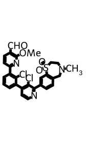 COc1nc(-c2cccc(-c3ccnc(-c4ccc5c(c4)S(=O)(=O)CCN(C)C5)c3Cl)c2Cl)ccc1C=O